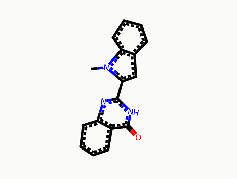 Cn1c(-c2nc3ccccc3c(=O)[nH]2)cc2ccccc21